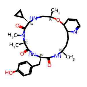 C[C@@H]1CCC2N=CC=CC2O[C@H](C)CN[C@@H](C2CC2)C(=O)N(C)[C@H](C)C(=O)N[C@H](Cc2ccc(O)cc2)C(=O)N1